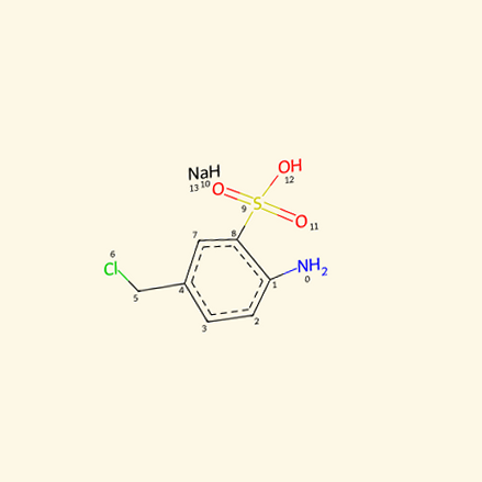 Nc1ccc(CCl)cc1S(=O)(=O)O.[NaH]